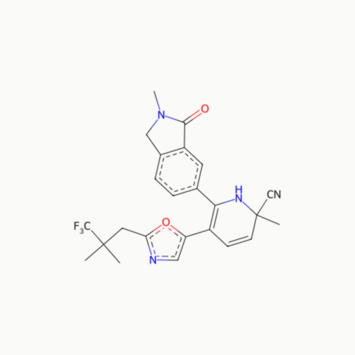 CN1Cc2ccc(C3=C(c4cnc(CC(C)(C)C(F)(F)F)o4)C=CC(C)(C#N)N3)cc2C1=O